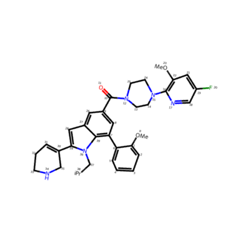 COc1ccccc1-c1cc(C(=O)N2CCN(c3ncc(F)cc3OC)CC2)cc2cc(C3=CCCNC3)n(CC(C)C)c12